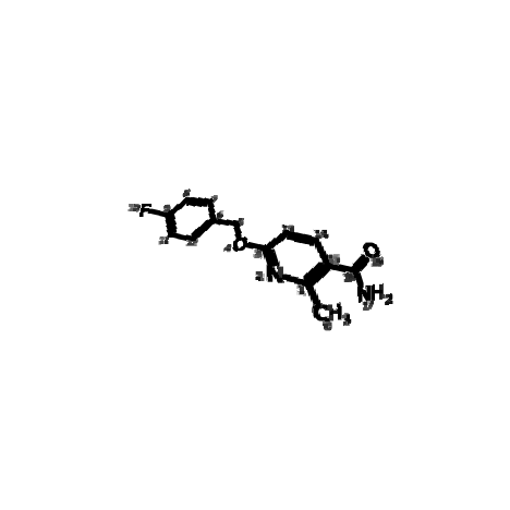 Cc1nc(OCc2ccc(F)cc2)ccc1C(N)=O